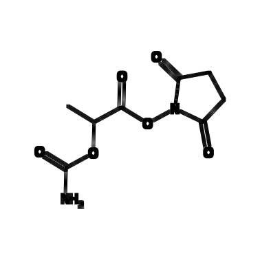 CC(OC(N)=O)C(=O)ON1C(=O)CCC1=O